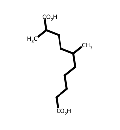 CC(CCCCC(=O)O)CCC(C)C(=O)O